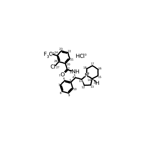 Cl.O=C(N[C@@H](c1ccccc1)[C@@H]1CC[C@H]2CCCCN21)c1cccc(C(F)(F)F)c1Cl